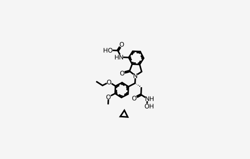 C1CC1.CCOc1cc([C@@H](CC(=O)NO)N2Cc3cccc(NC(=O)O)c3C2=O)ccc1OC